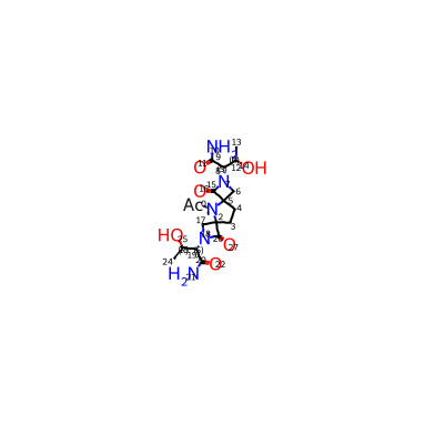 CC(=O)N1C2(CCC13CN([C@H](C(N)=O)[C@@H](C)O)C3=O)CN([C@H](C(N)=O)[C@@H](C)O)C2=O